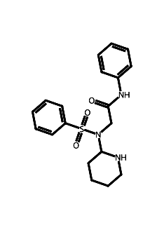 O=C(CN(C1CCCCN1)S(=O)(=O)c1ccccc1)Nc1ccccc1